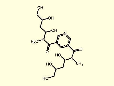 CN(C(=O)c1cncc(C(=O)N(C)C(O)CC(O)CO)c1)C(O)CC(O)CO